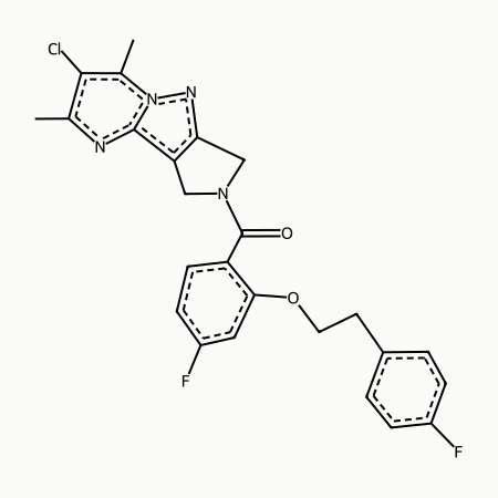 Cc1nc2c3c(nn2c(C)c1Cl)CN(C(=O)c1ccc(F)cc1OCCc1ccc(F)cc1)C3